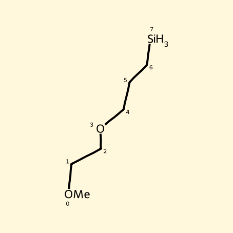 COCCOCCC[SiH3]